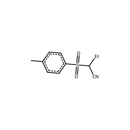 CCC(C#N)S(=O)(=O)c1ccc(C)cc1